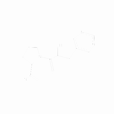 NC(=O)C1CCCN1C(=O)C(O)Cc1cccnc1